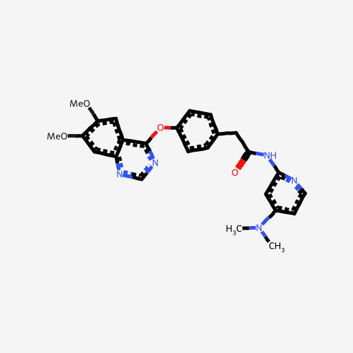 COc1cc2ncnc(Oc3ccc(CC(=O)Nc4cc(N(C)C)ccn4)cc3)c2cc1OC